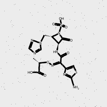 C[C@H](ON=C(C(=O)N[C@@H]1C(=O)N(S(=O)(=O)O)[C@H]1Cn1cncn1)c1csc(N)n1)C(=O)O